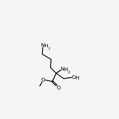 COC(=O)C(N)(CO)CCCN